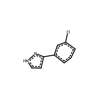 Clc1cccc(-c2[c]c[nH]n2)c1